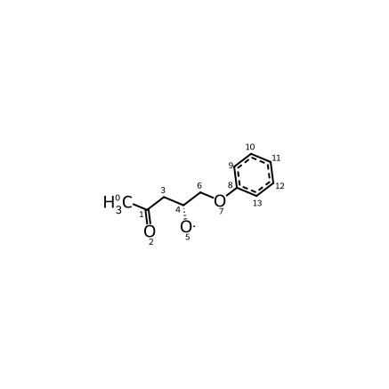 CC(=O)C[C@@H]([O])COc1ccccc1